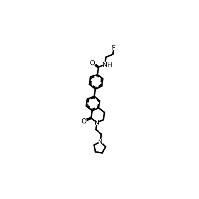 O=C(NCCF)c1ccc(-c2ccc3c(c2)CCN(CCN2CCCC2)C3=O)cc1